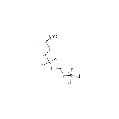 COC(C)COC(C)(C)CCCS(C)(C)Cl